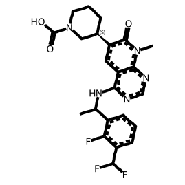 CC(Nc1ncnc2c1cc([C@@H]1CCCN(C(=O)O)C1)c(=O)n2C)c1cccc(C(F)F)c1F